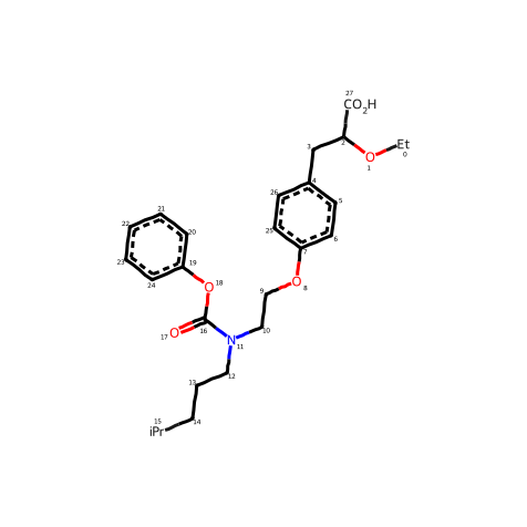 CCOC(Cc1ccc(OCCN(CCCC(C)C)C(=O)Oc2ccccc2)cc1)C(=O)O